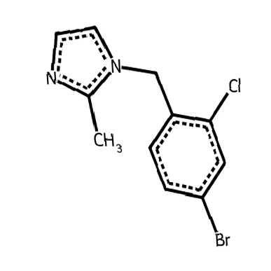 Cc1nccn1Cc1ccc(Br)cc1Cl